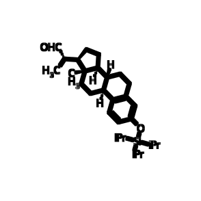 CC(C)[Si](Oc1ccc2c(c1)CC[C@@H]1[C@@H]2CC[C@]2(C)[C@@H]([C@H](C)C=O)CC[C@@H]12)(C(C)C)C(C)C